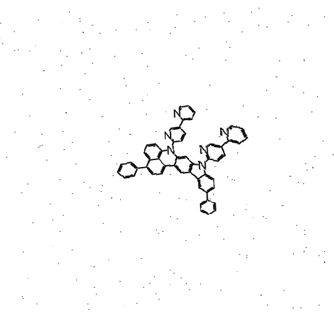 c1ccc(-c2ccc3c(c2)c2cc4c(cc2n3-c2ccc(-c3ccccn3)cn2)N(c2ccc(-c3ccccn3)cn2)c2cccc3c(-c5ccccc5)ccc-4c23)cc1